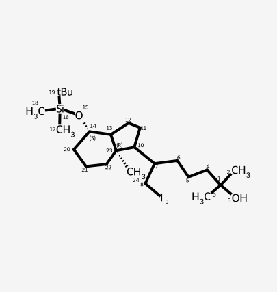 CC(C)(O)CCCC(CI)C1CCC2[C@@H](O[Si](C)(C)C(C)(C)C)CCC[C@]12C